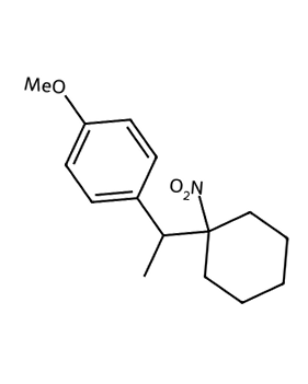 COc1ccc(C(C)C2([N+](=O)[O-])CCCCC2)cc1